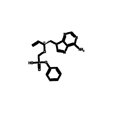 C=C[C@H](Cn1cnc2c(N)ncnc21)OCP(=O)(O)Oc1ccccc1